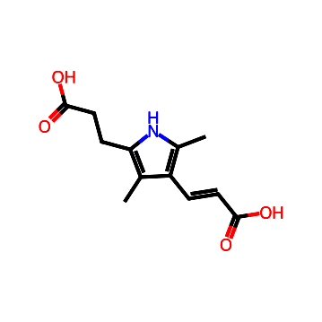 Cc1[nH]c(CCC(=O)O)c(C)c1C=CC(=O)O